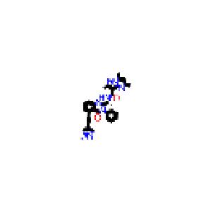 Cc1cc(C)n2nc(C)c(C(=O)N[C@H](C)c3nc4cccc(C#Cc5cnn(C)c5)c4c(=O)n3-c3ccccc3)c2n1